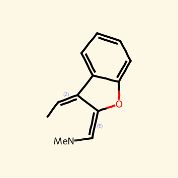 C/C=c1\c(=C/NC)oc2ccccc12